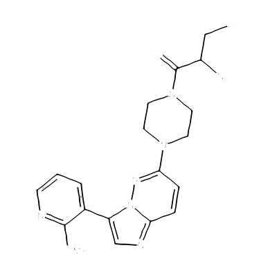 COc1ncccc1-c1cnc2ccc(N3CCN(C(=O)C(N)CC(C)C)CC3)nn12